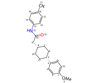 COc1ccc([C@H]2CC[C@@H](CC(=O)Nc3ccc(C#N)cc3)CC2)cc1